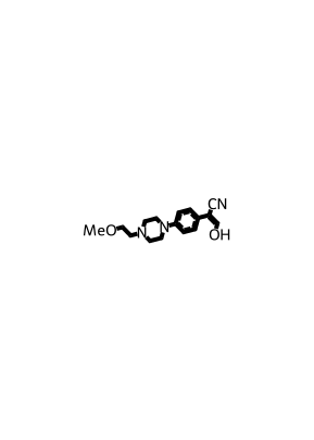 COCCN1CCN(c2ccc(/C(C#N)=C\O)cc2)CC1